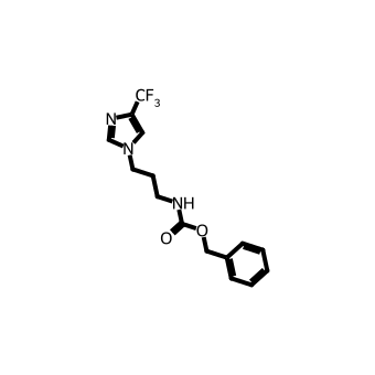 O=C(NCCCn1cnc(C(F)(F)F)c1)OCc1ccccc1